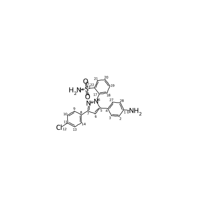 Nc1ccc(-c2cc(-c3ccc(Cl)cc3)nn2-c2ccccc2S(N)(=O)=O)cc1